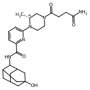 C[C@@H]1CN(C(=O)CCC(N)=O)CCN1c1cccc(C(=O)NC2C3CC4CC2CC(O)(C4)C3)n1